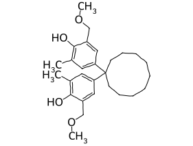 COCc1cc(C2(c3cc(C)c(O)c(COC)c3)CCCCCCCCC2)cc(C)c1O